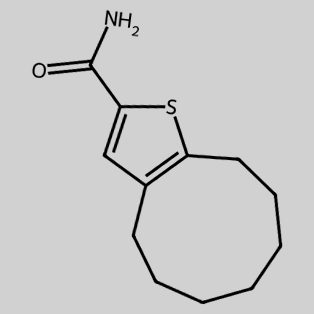 NC(=O)c1cc2c(s1)CCCCCCC2